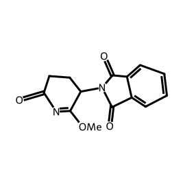 COC1=NC(=O)CCC1N1C(=O)c2ccccc2C1=O